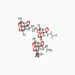 CCCCC(=O)C(CCC)(CCC)C(=O)[O-].CCCCC(=O)C(CCC)(CCC)C(=O)[O-].CCCCC(=O)C(CCC)(CCC)C(=O)[O-].[Al+3]